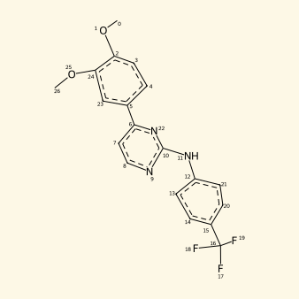 COc1ccc(-c2ccnc(Nc3ccc(C(F)(F)F)cc3)n2)cc1OC